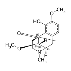 COc1ccc2c(c1O)[C@]13CCN(C)[C@H](C2)[C@@H]1C[C@@H](OC)C(=O)C3